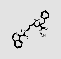 COC(=O)C1(Cc2ccccc2)CC(CCNC(=O)c2nccc3ccccc23)=NO1